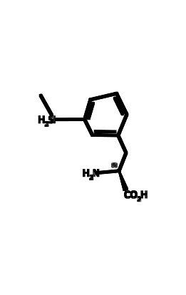 C[SiH2]c1cccc(C[C@H](N)C(=O)O)c1